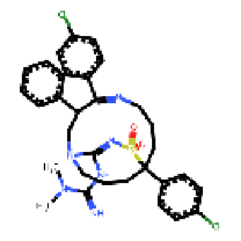 CN(C)C(=N)N/C1=N\S(=O)(=O)C2(c3ccc(Cl)cc3)CCC/N=C(/c3ccc(Cl)cc3)C(c3ccccc3)CN1CCC2